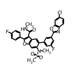 CNC(=O)c1c(-c2ccc(F)cc2)oc2cc(N(C)S(C)(=O)=O)c(-c3cc(F)cc(-c4nc5ccc(Cl)cc5o4)c3)cc12